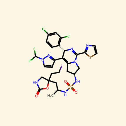 CC(CC1(CCI)CNC(=O)O1)NS(=O)(=O)N[C@H]1CC2=C(c3ccn(C(F)F)n3)[C@H](c3ccc(F)cc3Cl)N=C(c3nccs3)N2C1